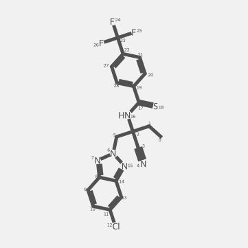 CCC(C#N)(Cn1nc2ccc(Cl)cc2n1)NC(=S)c1ccc(C(F)(F)F)cc1